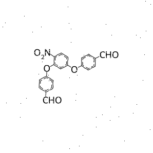 O=Cc1ccc(Oc2ccc([N+](=O)[O-])c(Oc3ccc(C=O)cc3)c2)cc1